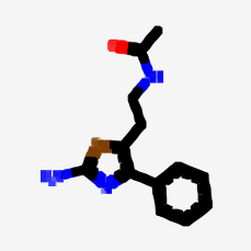 CC(=O)NCCc1sc(N)nc1-c1ccccc1